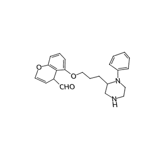 O=CC1C=COc2cccc(OCCCC3CNCCN3c3ccccc3)c21